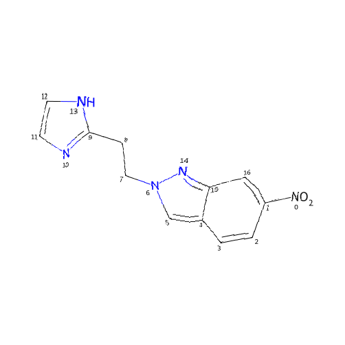 O=[N+]([O-])c1ccc2cn(CCc3ncc[nH]3)nc2c1